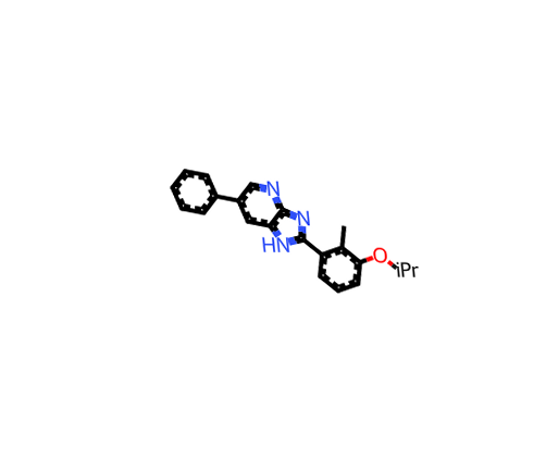 Cc1c(OC(C)C)cccc1-c1nc2ncc(-c3ccccc3)cc2[nH]1